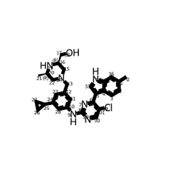 Cc1ccc2c(-c3nc(Nc4cc(CN5C[C@H](CO)N[C@H](C)C5)cc(C5CC5)c4)ncc3Cl)c[nH]c2c1